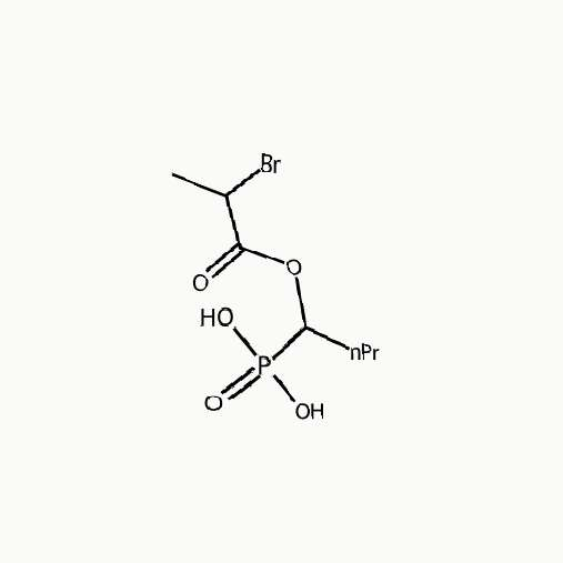 CCCC(OC(=O)C(C)Br)P(=O)(O)O